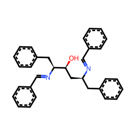 O[C@@H](C[C@H](Cc1ccccc1)N=Cc1ccccc1)[C@H](Cc1ccccc1)N=Cc1ccccc1